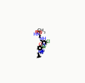 CS(=O)(=O)NCCNCc1cc(Cl)cnc1Oc1ccc2c(nnn2CC2CC2)c1Br